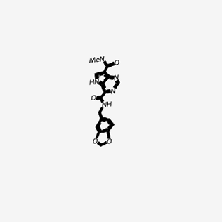 CNC(=O)c1c[nH]c2c(C(=O)NCc3ccc4c(c3)OCO4)ncnc12